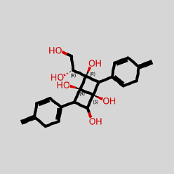 C=C1C=CC(C2C(O)[C@@]3(O)C(C4=CCC(=C)C=C4)[C@@](O)([C@H](O)CO)[C@@]23O)=CC1